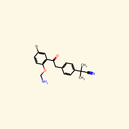 CC(C)(C#N)c1ccc(CC(=O)c2cc(Br)ccc2OCN)cc1